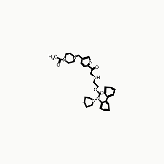 CC(=O)N1CCN(Cc2ccc(C(=O)CNCCOC(=O)N(c3ccccc3-c3ccccc3)N3CC[CH]CC3)nc2)CC1